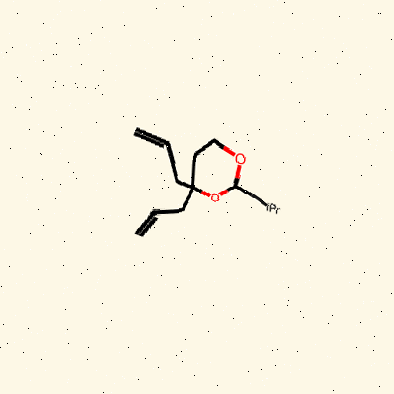 C=CCC1(CC=C)CCOC(C(C)C)O1